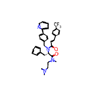 CN(C)CCN(C)C(=O)[C@H](Cc1ccccc1)N(Cc1ccc(-c2ccccn2)cc1)C(=O)/C=C/c1ccc(C(F)(F)F)cc1